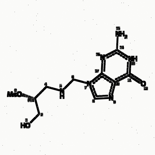 CO[C@@H](CO)CNCn1cnc2c(=O)[nH]c(N)nc21